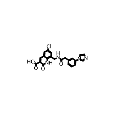 O=C(Cc1cccc(-n2ccnc2)c1)NCc1cc(Cl)cc2cc(C(=O)O)c(=O)[nH]c12